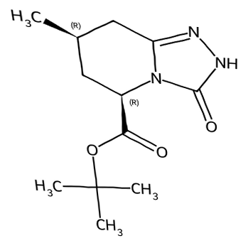 C[C@H]1Cc2n[nH]c(=O)n2[C@@H](C(=O)OC(C)(C)C)C1